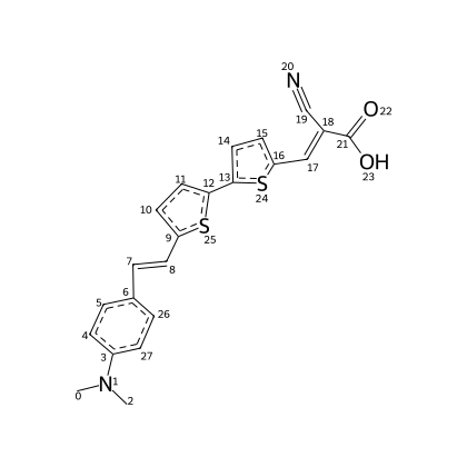 CN(C)c1ccc(/C=C/c2ccc(-c3ccc(/C=C(\C#N)C(=O)O)s3)s2)cc1